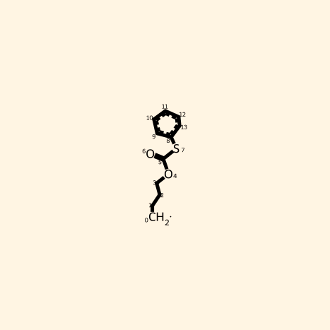 [CH2]CCCOC(=O)Sc1ccccc1